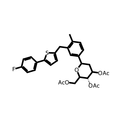 CC(=O)OCC1OC(c2ccc(C)c(Cc3ccc(-c4ccc(F)cc4)s3)c2)CC(OC(C)=O)[C@@H]1OC(C)=O